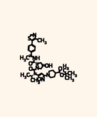 Cc1ncsc1-c1ccc([C@H](C)NC(=O)[C@@H]2C[C@@H](O)CN2C(=O)[C@H](c2cc(N3CCC(C(=O)OC(C)(C)C)CC3)no2)C(C)C)cc1